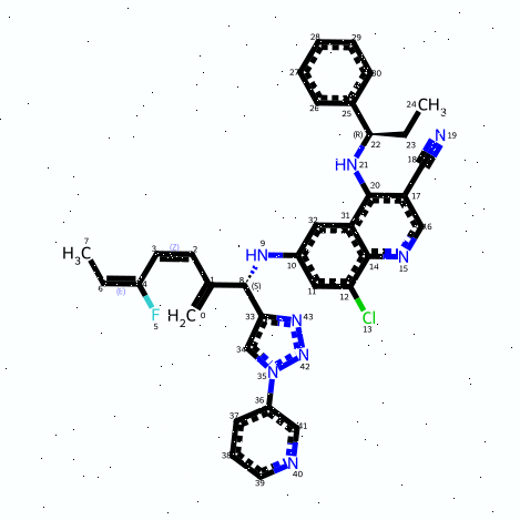 C=C(/C=C\C(F)=C/C)[C@H](Nc1cc(Cl)c2ncc(C#N)c(N[C@H](CC)c3ccccc3)c2c1)c1cn(-c2cccnc2)nn1